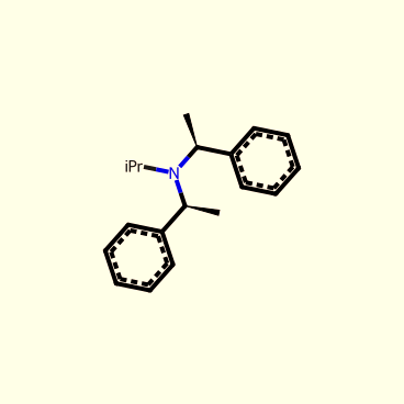 CC(C)N([C@@H](C)c1ccccc1)[C@@H](C)c1ccccc1